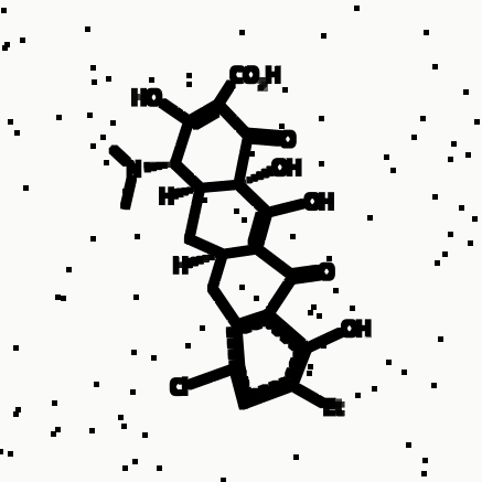 CCc1cc(Cl)c2c(c1O)C(=O)C1=C(O)[C@]3(O)C(=O)C(C(=O)O)=C(O)[C@@H](N(C)C)[C@@H]3C[C@@H]1C2